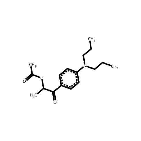 CCCN(CCC)c1ccc(C(=O)C(C)OC(C)=O)cc1